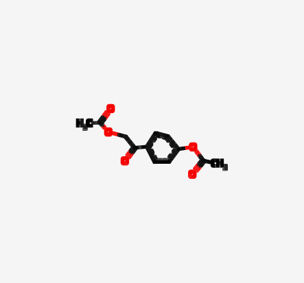 CC(=O)OCC(=O)c1ccc(OC(C)=O)cc1